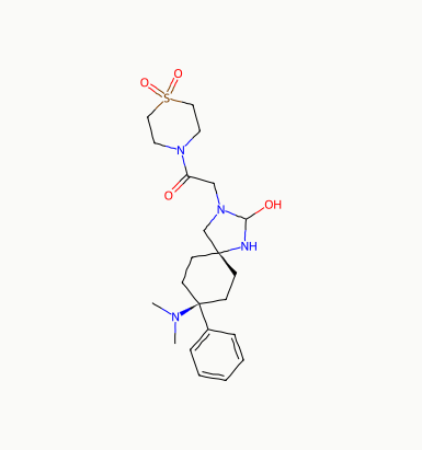 CN(C)[C@]1(c2ccccc2)CC[C@@]2(CC1)CN(CC(=O)N1CCS(=O)(=O)CC1)C(O)N2